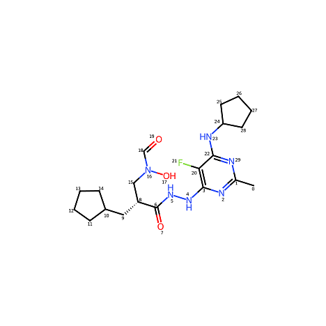 Cc1nc(NNC(=O)[C@H](CC2CCCC2)CN(O)C=O)c(F)c(NC2CCCC2)n1